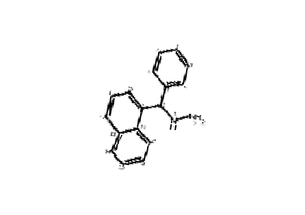 NNC(c1ccccc1)c1cccc2ccccc12